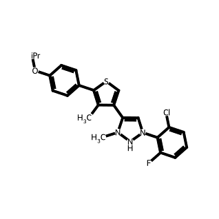 Cc1c(C2=CN(c3c(F)cccc3Cl)NN2C)csc1-c1ccc(OC(C)C)cc1